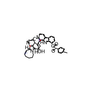 Cc1ccc(S(=O)(=O)Oc2cccc3c2[nH]c2c(C4=C[C@@]5(O)CC/C=C/CCCCN6CCC4[C@]4(C[C@H]7/C=C\CCCCN7[C@H]45)C6)nccc23)cc1